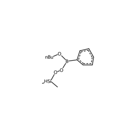 CCCCOB(OO[SiH](C)C)c1ccccc1